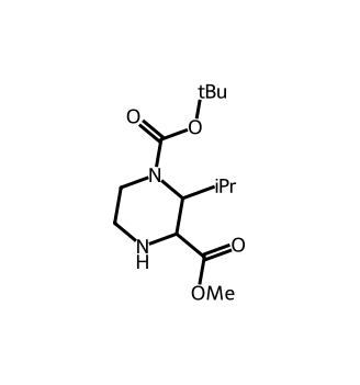 COC(=O)C1NCCN(C(=O)OC(C)(C)C)C1C(C)C